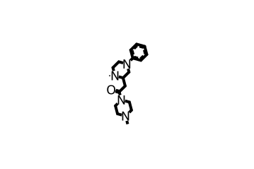 CN1CCN(C(=O)CC2CN(c3ccccc3)CC[N]2)CC1